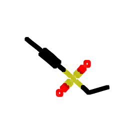 CC#CS(=O)(=O)CC